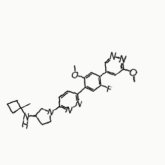 COc1cc(-c2cc(OC)c(-c3ccc(N4CCC(NC5(C)CCC5)C4)nn3)cc2F)cnn1